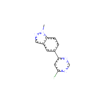 Cn1ncc2cc(-c3cc(Cl)ncn3)ccc21